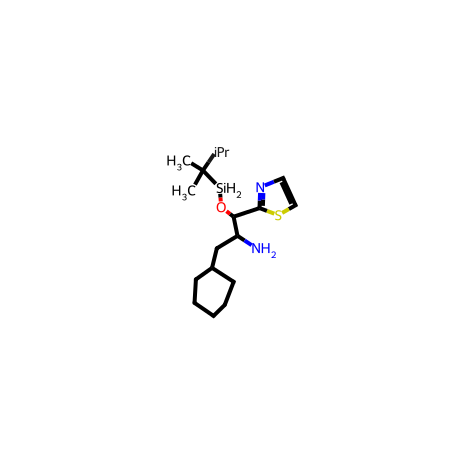 CC(C)C(C)(C)[SiH2]OC(c1nccs1)C(N)CC1CCCCC1